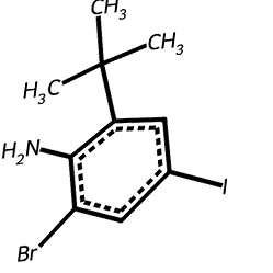 CC(C)(C)c1cc(I)cc(Br)c1N